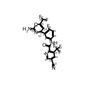 C[C@@]1(c2cc(NC(=O)c3ncc(C#N)cc3C(F)(F)F)ccc2F)C=C(C(F)F)OC(N)=N1